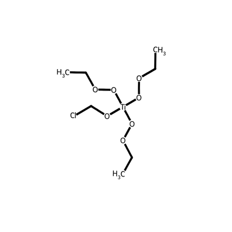 CCO[O][Ti]([O]CCl)([O]OCC)[O]OCC